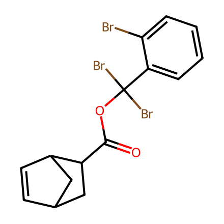 O=C(OC(Br)(Br)c1ccccc1Br)C1CC2C=CC1C2